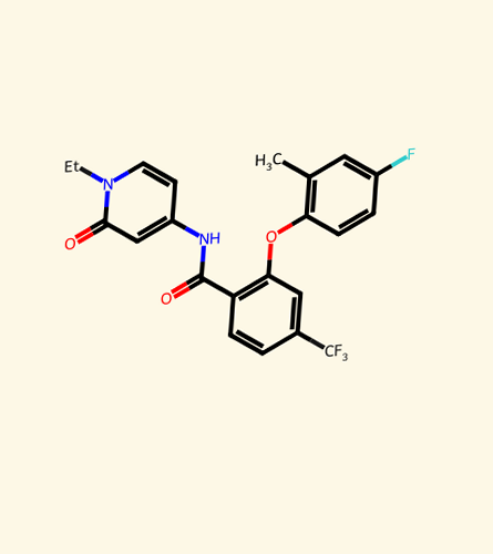 CCn1ccc(NC(=O)c2ccc(C(F)(F)F)cc2Oc2ccc(F)cc2C)cc1=O